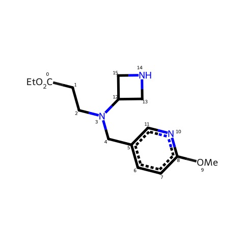 CCOC(=O)CCN(Cc1ccc(OC)nc1)C1CNC1